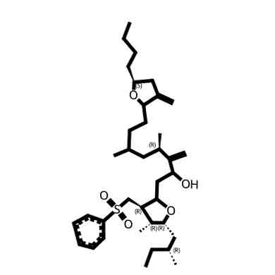 C=C1C[C@H](CCCC)OC1CCC(C)C[C@@H](C)C(=C)C(O)CC1O[C@H](C[C@H](C)CC)[C@H](C)[C@H]1CS(=O)(=O)c1ccccc1